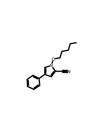 CCCCCOn1cc(-c2ccccc2)cc1C#N